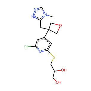 Cn1cnnc1CC1(c2cc(Cl)nc(SCC(O)CO)c2)COC1